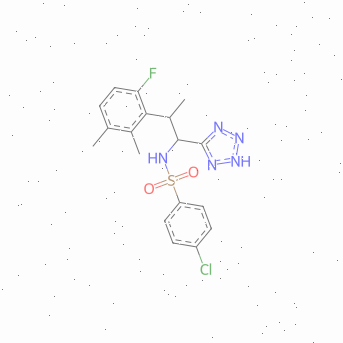 Cc1ccc(F)c(C(C)C(NS(=O)(=O)c2ccc(Cl)cc2)c2nn[nH]n2)c1C